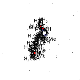 CCN[C@H]1CO[C@@H](O[C@H]2[C@H](O[C@H]3C#C/C=C\C#C[C@]4(O)CC(=O)C(NC(=O)OC)=C3/C4=C\CSSC(C)(C)CC(=O)NN)O[C@H](C)[C@@H](NO[C@H]3C[C@H](O)[C@H]([SH]=C(O)c4c(C)c(I)c(O[C@@H]5O[C@@H](C)[C@H](O)[C@@H](OC)[C@H]5O)c(OC)c4OC)[C@@H](C)O3)[C@@H]2O)C[C@@H]1OC